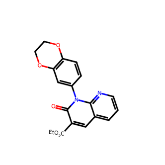 CCOC(=O)c1cc2cccnc2n(-c2ccc3c(c2)OCCO3)c1=O